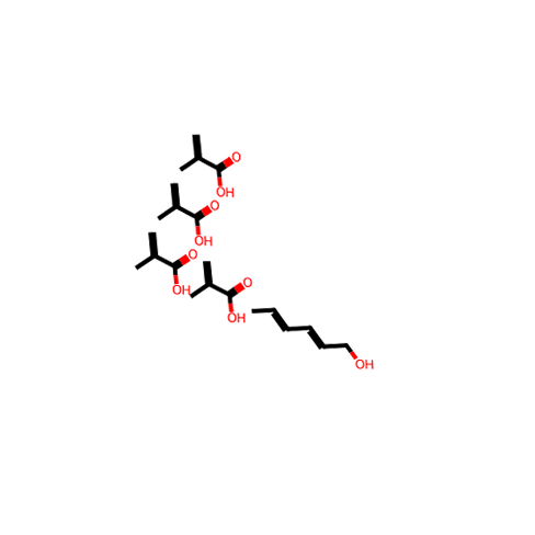 C=C(C)C(=O)O.C=C(C)C(=O)O.C=C(C)C(=O)O.C=C(C)C(=O)O.CC=CC=CCO